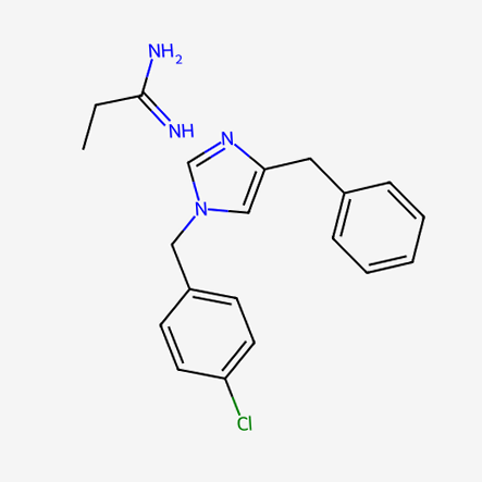 CCC(=N)N.Clc1ccc(Cn2cnc(Cc3ccccc3)c2)cc1